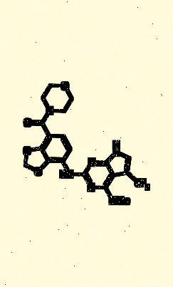 CNc1nc(Nc2ccc(C(=O)N3CCOCC3)c3c2OCO3)nc2[nH]cc(C(F)(F)F)c12